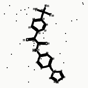 O=C(Nc1ccc(-n2ccnc2)cc1)C(=O)c1ccc(C(F)(F)F)cc1